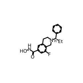 CC[C@H](c1ccccc1)N1CCc2cc(C(=O)NO)cc(F)c2C1